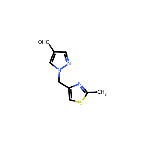 Cc1nc(Cn2cc(C=O)cn2)cs1